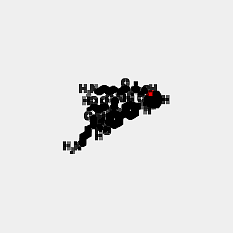 CCCCc1ccc(-c2ccc(S(=O)(=O)N[C@@H](CCCCN)C(=O)N[C@H](C(=O)N[C@@H](C)C(=O)N[C@@H](CCCCN)C(=O)N[C@@H](C)B3O[C@@H]4C[C@@H]5C[C@@H](C5(C)C)[C@]4(C)O3)[C@@H](C)O)cc2)cc1